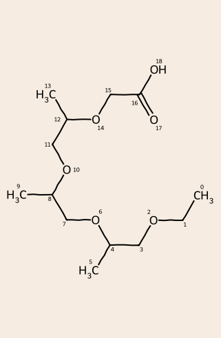 CCOCC(C)OCC(C)OCC(C)OCC(=O)O